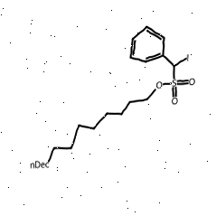 CCCCCCCCCCCCCCCCCCOS(=O)(=O)C(I)c1ccccc1